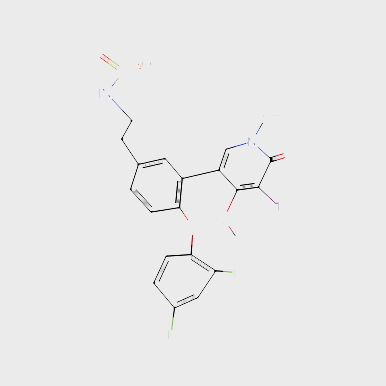 COc1c(-c2cc(CCN[SH](=O)=O)ccc2Oc2ccc(F)cc2F)cn(C)c(=O)c1I